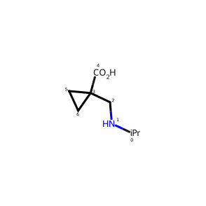 CC(C)NCC1(C(=O)O)CC1